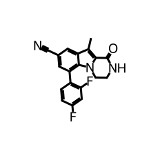 Cc1c2n(c3c(-c4ccc(F)cc4F)cc(C#N)cc13)CCNC2=O